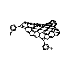 Fc1cccc(C2C3C4C=C5CC6=CC7C8c9c%10c%11c%12c%13c%14c%15c%16c(c%17c%14c%14c(c5c6c8c%14c9%13)C%174)C23CC%16=CC(C=C%11CC%102C(c3cccc(F)c3)C72)C%15%12)c1